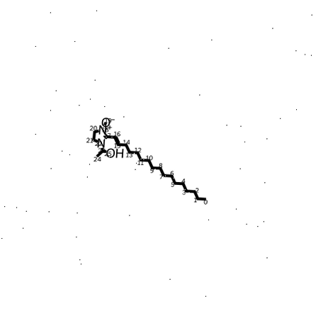 CCCCCCCCCCCCCCCC=CC1=[N+]([O-])CCN1C(C)O